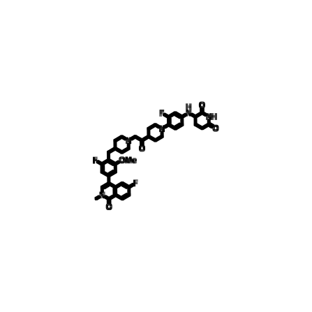 COc1cc(-c2cn(C)c(=O)c3ccc(F)cc23)cc(F)c1CC1CCN(CC(=O)C2CCN(c3ccc(NC4CCC(=O)NC4=O)cc3F)CC2)CC1